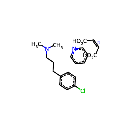 CN(C)CCCc1ccc(Cl)cc1.O=C(O)/C=C\C(=O)O.c1ccncc1